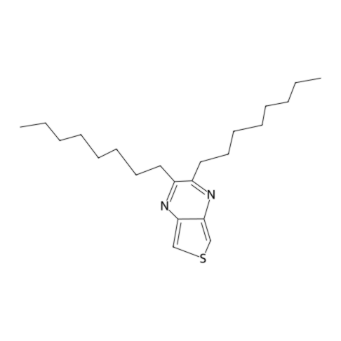 CCCCCCCCc1nc2cscc2nc1CCCCCCCC